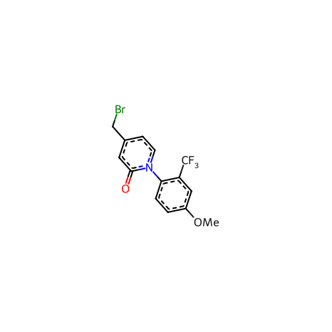 COc1ccc(-n2ccc(CBr)cc2=O)c(C(F)(F)F)c1